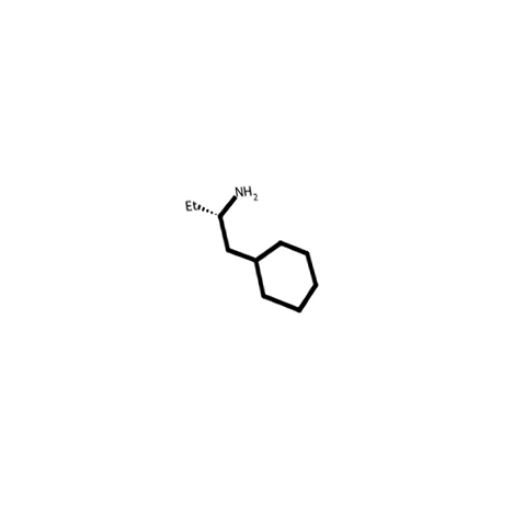 CC[C@H](N)CC1CCCCC1